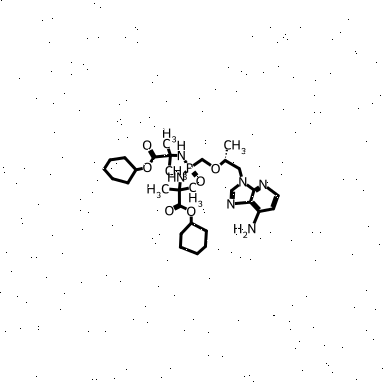 C[C@H](Cn1cnc2c(N)ccnc21)OCP(=O)(NC(C)(C)C(=O)OC1CCCCC1)NC(C)(C)C(=O)OC1CCCCC1